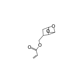 C=CC(=O)OCC1CC23CC(O2)C1O3